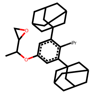 CC(C)c1c(C23CC4CC(CC(C4)C2)C3)cc(OC(C)C2CO2)cc1C12CC3CC(CC(C3)C1)C2